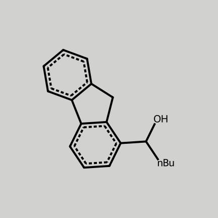 CCCCC(O)c1cccc2c1Cc1ccccc1-2